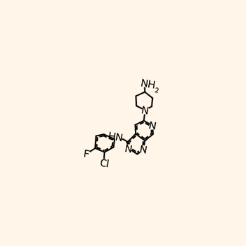 NC1CCN(c2cc3c(Nc4ccc(F)c(Cl)c4)ncnc3cn2)CC1